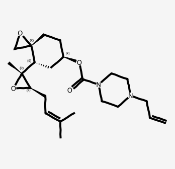 C=CCN1CCN(C(=O)O[C@@H]2CC[C@]3(CO3)[C@@H]([C@@]3(C)O[C@@H]3CC=C(C)C)C2)CC1